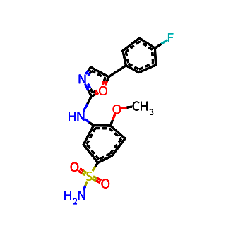 COc1ccc(S(N)(=O)=O)cc1Nc1ncc(-c2ccc(F)cc2)o1